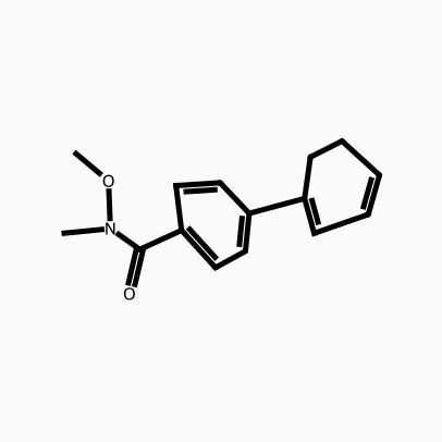 CON(C)C(=O)c1ccc(C2=CC=CCC2)cc1